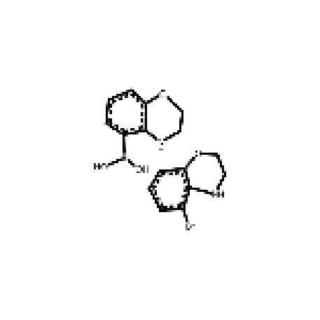 Brc1cccc2c1NCCO2.OB(O)c1cccc2c1NCCO2